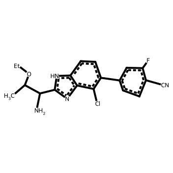 CCOC(C)C(N)c1nc2c(Cl)c(-c3ccc(C#N)c(F)c3)ccc2[nH]1